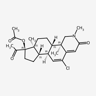 CC(=O)O[C@]1(C(C)=O)CC[C@H]2[C@@H]3C=C(Cl)C4=CC(=O)N(C)C[C@]4(C)[C@H]3CC[C@@]21C